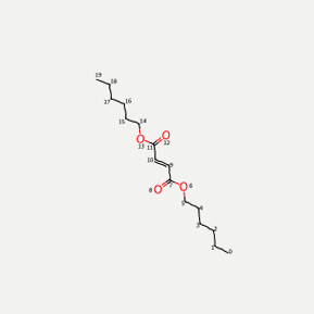 CCCCCCOC(=O)C=CC(=O)OCCCCCC